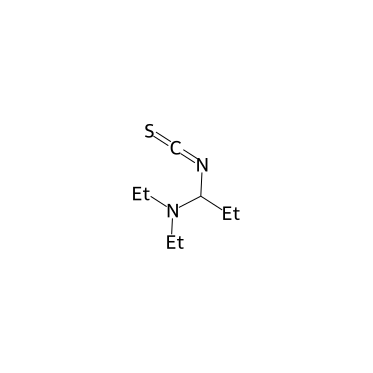 CCC(N=C=S)N(CC)CC